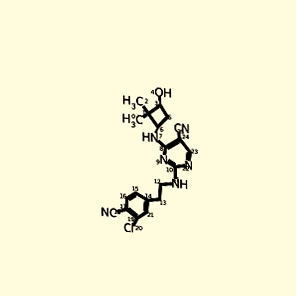 CC1(C)[C@@H](O)C[C@H]1Nc1nc(NCCc2ccc(C#N)c(Cl)c2)ncc1C#N